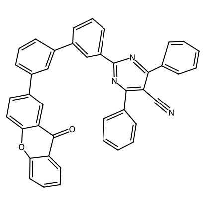 N#Cc1c(-c2ccccc2)nc(-c2cccc(-c3cccc(-c4ccc5oc6ccccc6c(=O)c5c4)c3)c2)nc1-c1ccccc1